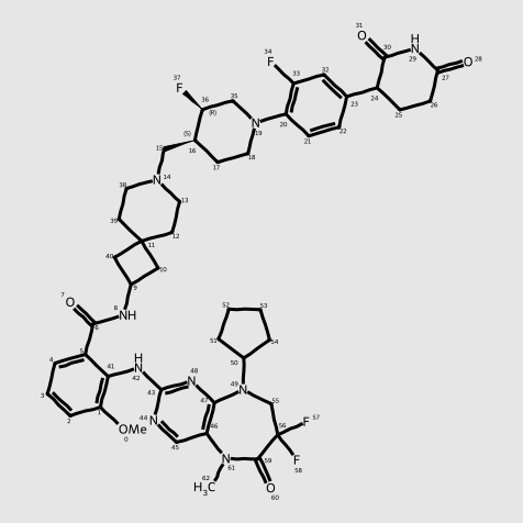 COc1cccc(C(=O)NC2CC3(CCN(C[C@@H]4CCN(c5ccc(C6CCC(=O)NC6=O)cc5F)C[C@@H]4F)CC3)C2)c1Nc1ncc2c(n1)N(C1CCCC1)CC(F)(F)C(=O)N2C